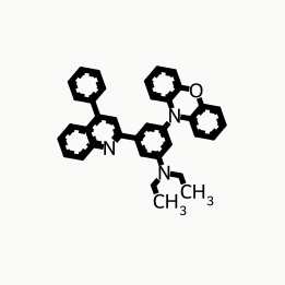 CCN(CC)c1cc(-c2cc(-c3ccccc3)c3ccccc3n2)cc(N2c3ccccc3Oc3ccccc32)c1